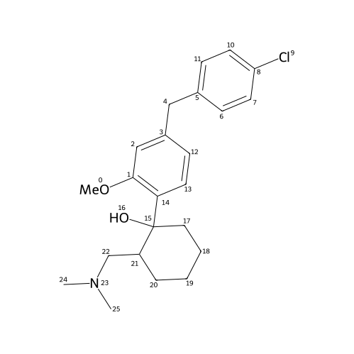 COc1cc(Cc2ccc(Cl)cc2)ccc1C1(O)CCCCC1CN(C)C